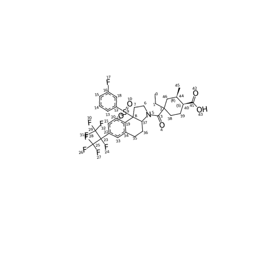 CCC1(C(=O)N2CCC3(S(=O)(=O)c4cccc(F)c4)c4ccc(C(F)(C(F)(F)F)C(F)(F)F)cc4CCC23)CC[C@H](C(=O)O)[C@H](C)C1